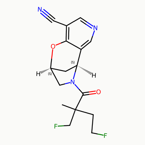 CC(CF)(CCF)C(=O)N1C[C@@H]2C[C@H]1c1cncc(C#N)c1O2